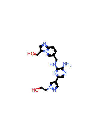 Nc1ncc(-c2cnn(CCO)c2)nc1NCc1ccc2ncc(CO)n2c1